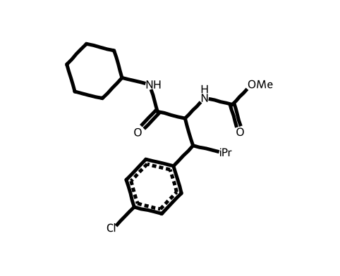 COC(=O)NC(C(=O)NC1CCCCC1)C(c1ccc(Cl)cc1)C(C)C